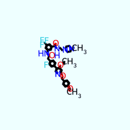 CCOc1cc(OCc2ccc(OC)cc2)ncc1-c1ccc(CC(=O)Nc2cc(C(=O)NCCN3CCN(C)CC3)cc(C(F)(F)F)c2)c(F)c1